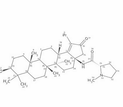 CC(C)C1=C2[C@H]3CCC4[C@@]5(C)CC[C@H](O)C(C)(C)C5CC[C@@]4(C)[C@]3(C)CC[C@@]2(NC(=O)[C@@H]2CCCN2C)CC1=O